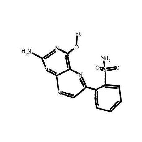 CCOc1nc(N)nc2ncc(-c3ccccc3S(N)(=O)=O)nc12